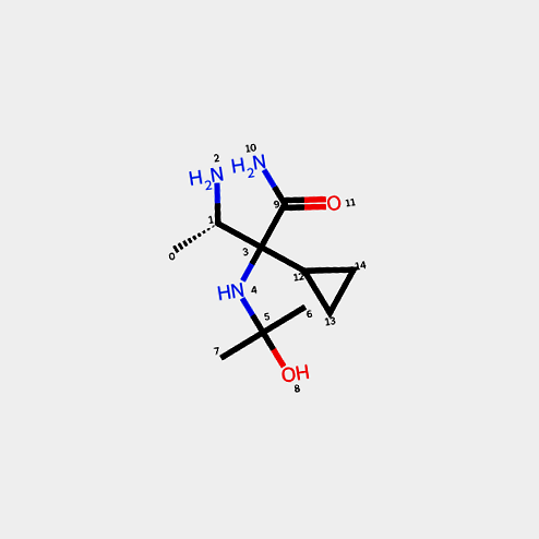 C[C@H](N)C(NC(C)(C)O)(C(N)=O)C1CC1